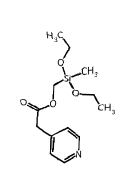 CCO[Si](C)(COC(=O)Cc1ccncc1)OCC